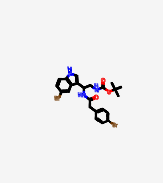 CC(C)(C)OC(=O)NCC(NC(=O)Cc1ccc(Br)cc1)c1c[nH]c2ccc(Br)cc12